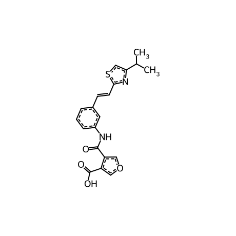 CC(C)c1csc(/C=C/c2cccc(NC(=O)c3cocc3C(=O)O)c2)n1